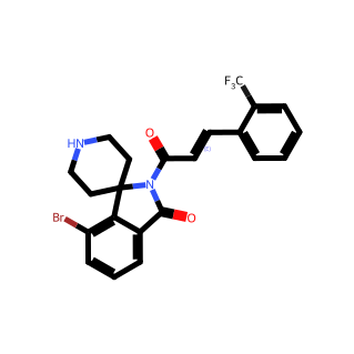 O=C(/C=C/c1ccccc1C(F)(F)F)N1C(=O)c2cccc(Br)c2C12CCNCC2